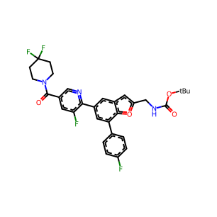 CC(C)(C)OC(=O)NCc1cc2cc(-c3ncc(C(=O)N4CCC(F)(F)CC4)cc3F)cc(-c3ccc(F)cc3)c2o1